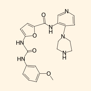 COc1cccc(NC(=O)Nc2ccc(C(=O)Nc3cnccc3N3CCNCC3)o2)c1